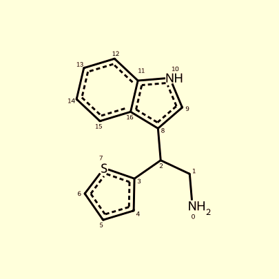 NCC(c1cccs1)c1c[nH]c2ccccc12